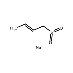 CC=CC[S-](=O)=O.[Na+]